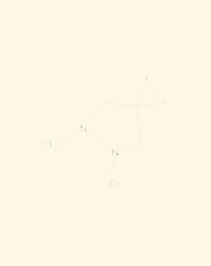 CC(C)N1CC2(CC2)CN1C